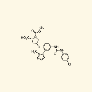 Cn1nccc1-c1cc(NC(=O)Nc2ccc(Cl)cc2)ccc1O[C@H]1C[C@@H](C(=O)O)N(C(=O)OC(C)(C)C)C1